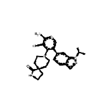 CC(C)n1ncc2ccc(-c3cnc(N)c(Cl)c3N3CCC4(CCNC4=O)CC3)cc21